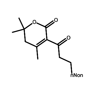 CCCCCCCCCCCC(=O)C1=C(C)CC(C)(C)OC1=O